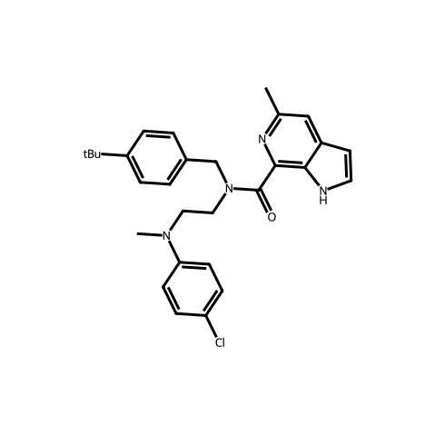 Cc1cc2cc[nH]c2c(C(=O)N(CCN(C)c2ccc(Cl)cc2)Cc2ccc(C(C)(C)C)cc2)n1